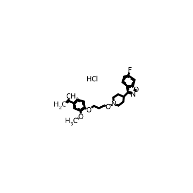 C=C(C)c1ccc(OCCCON2CCC(c3noc4cc(F)ccc34)CC2)c(OC)c1.Cl